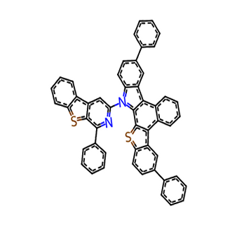 c1ccc(-c2ccc3sc4c(c3c2)c2ccccc2c2c3cc(-c5ccccc5)ccc3n(-c3cc5c(sc6ccccc65)c(-c5ccccc5)n3)c42)cc1